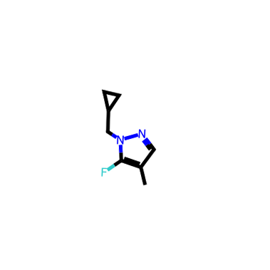 Cc1cnn(CC2CC2)c1F